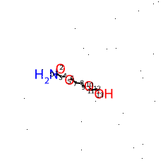 NC(=O)CCOCCCCOCCO